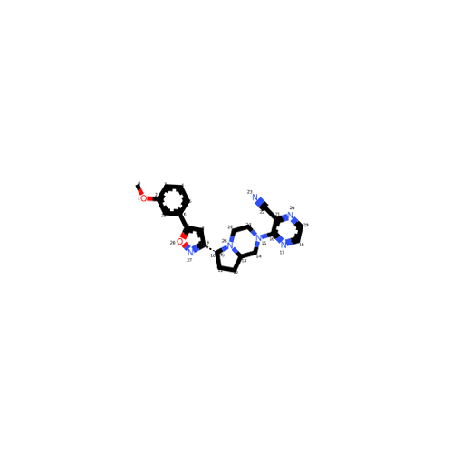 COc1cccc(-c2cc([C@H]3CCC4CN(c5nccnc5C#N)CCN43)no2)c1